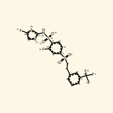 O=S(=O)(CCc1cccc(C(F)(F)F)c1)c1ccc(S(=O)(=O)Nc2ncc(F)s2)c(F)c1